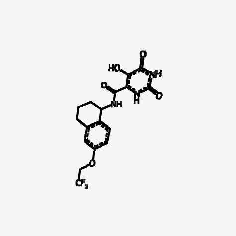 O=C(NC1CCCc2cc(OCC(F)(F)F)ccc21)c1[nH]c(=O)[nH]c(=O)c1O